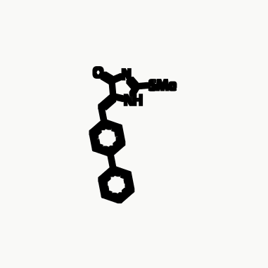 CSC1=NC(=O)C(=Cc2ccc(-c3ccccc3)cc2)N1